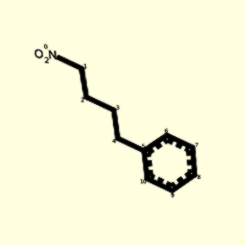 O=[N+]([O-])[CH]CCCc1ccccc1